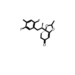 Cc1cc(F)c(C[C@@H](C)[C@]23CCC(=O)C=C2OC(C)O3)cc1F